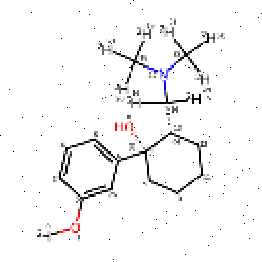 [2H]Oc1cccc([C@]2(O)CCCC[C@H]2C([2H])([2H])N(C([2H])([2H])[2H])C([2H])([2H])[2H])c1